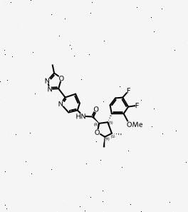 COc1c([C@@H]2[C@H](C)[C@@H](C)O[C@H]2C(=O)Nc2ccc(-c3nnc(C)o3)nc2)ccc(F)c1F